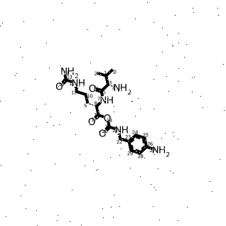 CC(C)[C@H](N)C(=O)N[C@@H](CCCNC(N)=O)C(=O)OC(=O)NCc1ccc(N)cc1